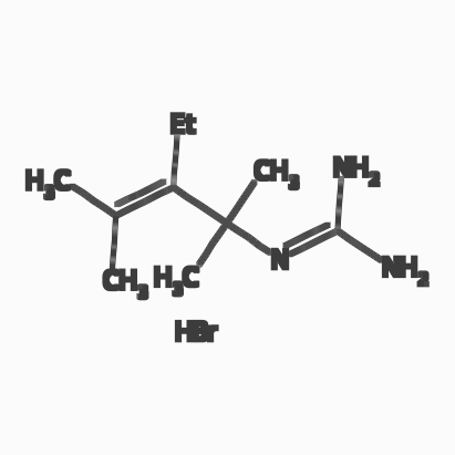 Br.CCC(=C(C)C)C(C)(C)N=C(N)N